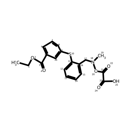 CCOC(=O)c1cccc(Sc2ccccc2CN(C)OC(=O)C(=O)O)c1